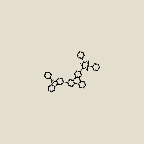 c1ccc(-c2nc(-c3ccccc3)nc(-c3ccc4c5cc(-c6ccc7c(c6)c6ccccc6n7-c6ccccc6)ccc5c5ccccc5c4c3)n2)cc1